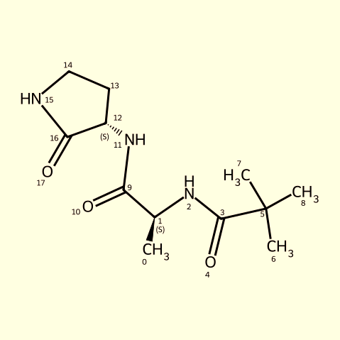 C[C@H](NC(=O)C(C)(C)C)C(=O)N[C@H]1CCNC1=O